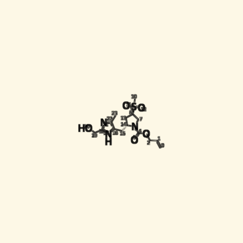 C=CCOC(=O)N1C[C@H](S(C)(=O)=O)C[C@H]1Cc1[nH]c(CO)nc1C